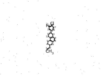 CC=CC1CCc2c(ccc3c2CCC(c2ccc(Cl)c(F)c2)C3)C1